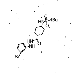 CC(C)(C)S(=O)(=O)N[C@H]1CC[C@H](C(=O)NNc2cccc(Br)c2)CC1